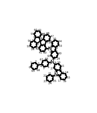 c1ccc(-c2ccc(N(c3ccc4c5ccccc5n(-c5ccccc5)c4c3)c3ccc4c5ccccc5n(-c5cccc6c5-c5ccccc5C65c6ccccc6-c6ccccc65)c4c3)cc2)cc1